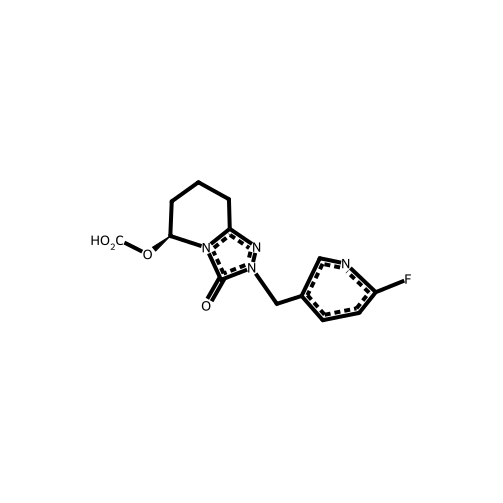 O=C(O)O[C@H]1CCCc2nn(Cc3ccc(F)nc3)c(=O)n21